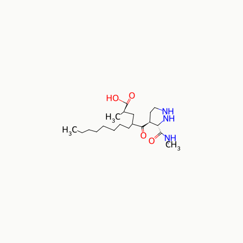 CCCCCCCCC(CC(C)C(=O)O)C(=O)[C@H]1CCNN[C@@H]1C(=O)NC